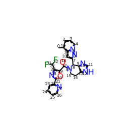 Cc1cccn2nc(C3c4nc[nH]c4CCN3C(=O)c3oc(-c4ccccn4)nc3C(F)F)cc12